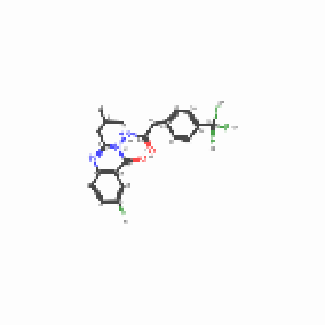 CC(C)Cc1nc2ccc(F)cc2c(=O)n1NC(=O)Cc1ccc(C(F)(F)F)cc1